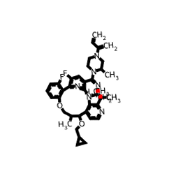 C=CC(=C)N1CCN(/C(=N/C)c2cc(F)c3nc2N(C=C)c2c(ccnc2C(C)C)C(OCC2CC2)C(C)COc2cccc(F)c2-3)C(C)C1